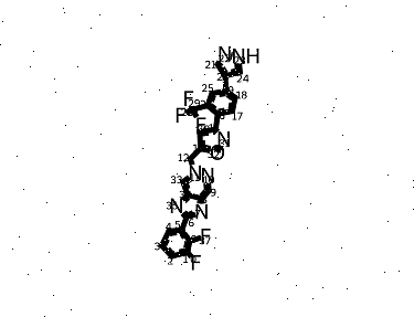 Fc1cccc(-c2nc3cnn(Cc4cc(-c5ccc(-c6cn[nH]c6)cc5C(F)(F)F)no4)cc-3n2)c1F